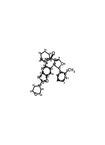 Cc1ncccc1C1OC=C(C(N)=O)N1c1cc2oc(N3CCOCC3)nc2nc1N1CCCCC1